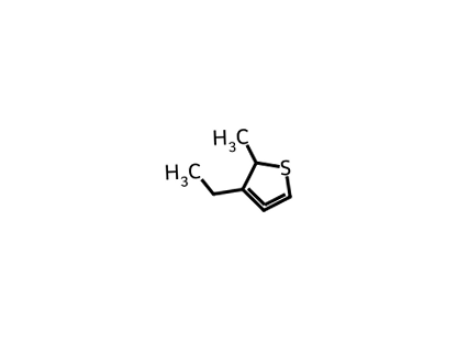 CCC1=C=CSC1C